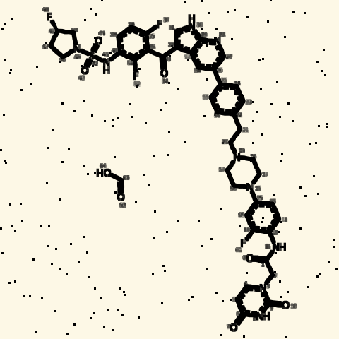 O=C(Cn1ccc(=O)[nH]c1=O)Nc1ccc(N2CCN(CCc3ccc(-c4cnc5[nH]cc(C(=O)c6c(F)ccc(NS(=O)(=O)N7CC[C@@H](F)C7)c6F)c5c4)cc3)CC2)cc1F.O=CO